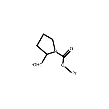 CC(C)OC(=O)N1CCCC1[C]=O